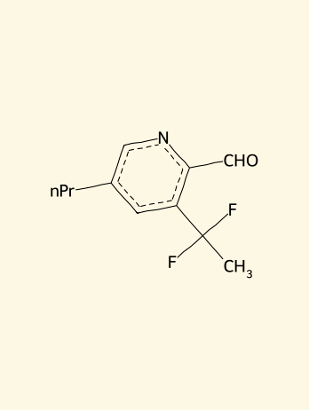 CCCc1cnc(C=O)c(C(C)(F)F)c1